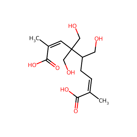 CC(=CCC(CO)C(C=C(C)C(=O)O)(CO)CO)C(=O)O